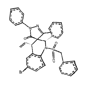 C=C[C@H]1c2cc(Br)ccc2N(S(=O)(=O)Cc2ccccc2)[C@@H](c2ccccc2)[C@]12C(=O)N(c1ccccc1)N=C2C